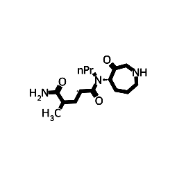 CCCN(C(=O)[CH]CC(C)C(N)=O)[C@H]1CCCNCC1=O